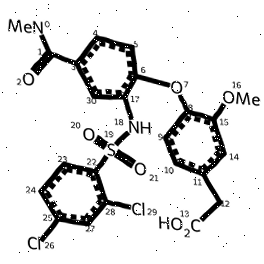 CNC(=O)c1ccc(Oc2ccc(CC(=O)O)cc2OC)c(NS(=O)(=O)c2ccc(Cl)cc2Cl)c1